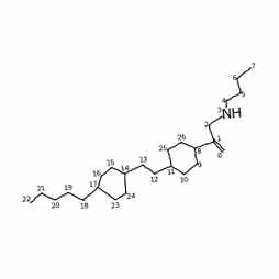 C=C(CNCCCC)C1CCC(CCC2CCC(CCCCC)CC2)CC1